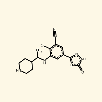 CC(Nc1cc(-c2n[nH]c(=O)o2)cc(C#N)c1Cl)C1CCNCC1